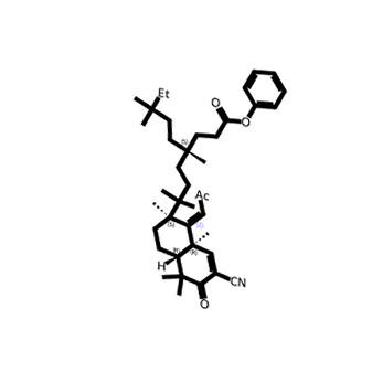 CCC(C)(C)CC[C@](C)(CCC(=O)Oc1ccccc1)CCC(C)(C)[C@]1(C)CC[C@H]2C(C)(C)C(=O)C(C#N)=C[C@]2(C)/C1=C/C(C)=O